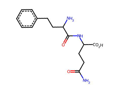 NC(=O)CCC(NC(=O)C(N)CCc1ccccc1)C(=O)O